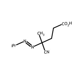 CC(C)N=NC(C)(C#N)CCC(=O)O